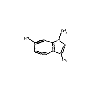 Cc1nn(C)c2cc(O)ccc12